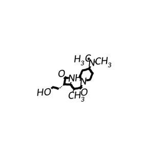 C[C@@H](C(=O)N1CCC(N(C)C)CC1)[C@H]1NC(=O)[C@H]1CCO